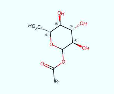 CC(C)C(=O)OC1O[C@H](C(=O)O)[C@@H](O)[C@H](O)[C@H]1O